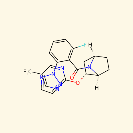 O=C(c1c(F)cccc1-n1nccn1)N1[C@@H]2CC[C@H]1[C@H](Oc1ncc(C(F)(F)F)cn1)C2